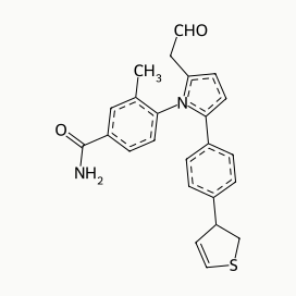 Cc1cc(C(N)=O)ccc1-n1c(CC=O)ccc1-c1ccc(C2C=CSC2)cc1